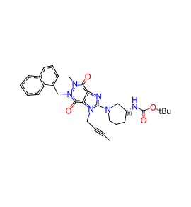 CC#CCn1c(N2CCC[C@@H](NC(=O)OC(C)(C)C)C2)nc2c(=O)n(C)n(Cc3cccc4ccccc34)c(=O)c21